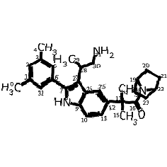 Cc1cc(C)cc(-c2[nH]c3ccc(C(C)(C)C(=O)N4C5CCC4CC5)cc3c2C(C)CN)c1